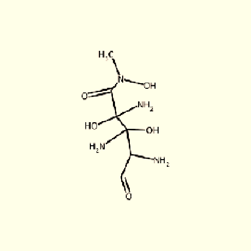 CN(O)C(=O)C(N)(O)C(N)(O)C(N)C=O